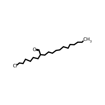 CCCCCCCCCCCCC(C=O)CCCCCCCl